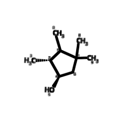 CC1[C@@H](C)[C@H](O)CC1(C)C